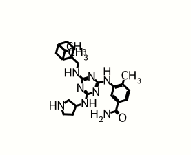 Cc1ccc(C(N)=O)cc1Nc1nc(NCC2CCC3CC2C3(C)C)nc(NC2CCNC2)n1